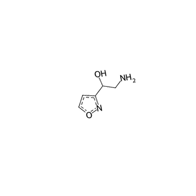 NCC(O)c1ccon1